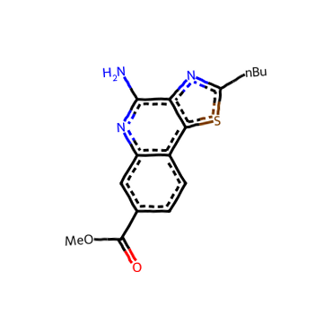 CCCCc1nc2c(N)nc3cc(C(=O)OC)ccc3c2s1